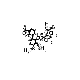 COc1ccc(-c2cccc3c2COC3=O)c(OCC(C)(C)C(=O)OC(C)(C)C#N)c1OC